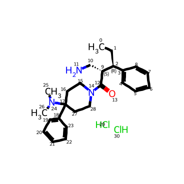 CC[C@@H](c1ccccc1)[C@@H](CN)C(=O)N1CCC(c2ccccc2)(N(C)C)CC1.Cl.Cl